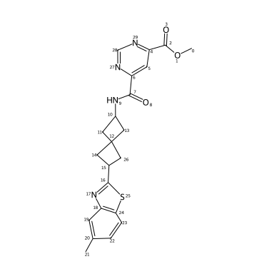 COC(=O)c1cc(C(=O)NC2CC3(C2)CC(c2nc4cc(C)ccc4s2)C3)ncn1